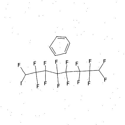 FC(F)C(F)(F)C(F)(F)C(F)(F)C(F)(F)C(F)(F)C(F)(F)C(F)I.c1ccccc1